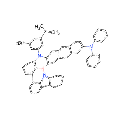 C=C(C)c1cc(N2c3cc4cc5ccc(N(c6ccccc6)c6ccccc6)cc5cc4cc3B3c4c(cccc42)-c2cccc4c5ccccc5n3c24)cc(C(C)(C)C)c1